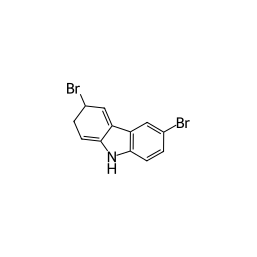 Brc1ccc2[nH]c3c(c2c1)=CC(Br)CC=3